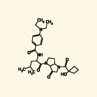 CCN(CC)c1ccc(C(=O)NC(CC(C)C)C(=O)N2CCC3C2C(=O)CN3C(=O)C2(O)CCC2)cc1